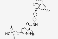 CC(C)(O)COC1=CN/C(=C(\C=N)C(=O)NC2CC3(C2)CC(Oc2cc(Br)ccc2C(N)=O)C3)C=C1